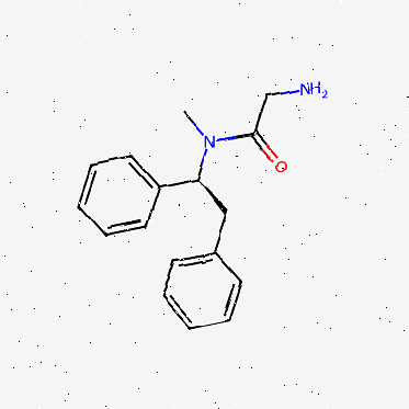 CN(C(=O)CN)[C@@H](Cc1ccccc1)c1ccccc1